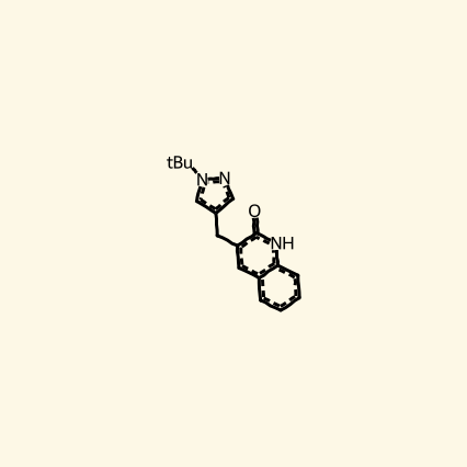 CC(C)(C)n1cc(Cc2cc3ccccc3[nH]c2=O)cn1